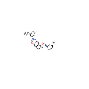 FC(F)(F)c1cccc(N2COc3cc4ccc5c(c4cc3C2)OCN(c2cccc(C(F)(F)F)c2)C5)c1